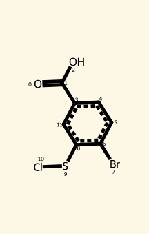 O=C(O)c1ccc(Br)c(SCl)c1